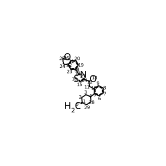 C=C1CCC(c2ccccc2CC(=O)c2csc(-c3ccc4c(c3)CCO4)n2)CC1